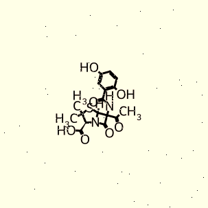 CC(=O)C1(NC(=O)c2cc(O)ccc2O)C(=O)N2[C@@H](C(=O)O)C(C)(C)S[C@@H]21